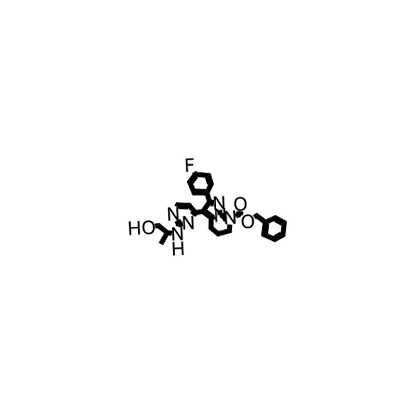 CC(CO)Nc1nccc(-c2c(-c3ccc(F)cc3)nn3c2CCCN3C(=O)OCc2ccccc2)n1